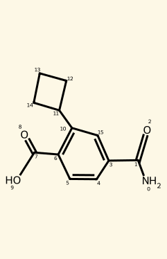 NC(=O)c1ccc(C(=O)O)c(C2CCC2)c1